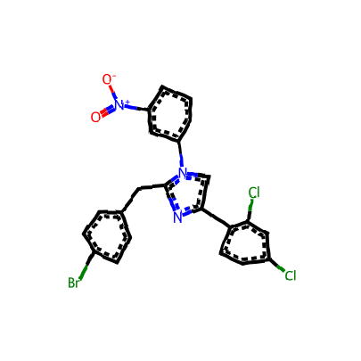 O=[N+]([O-])c1cccc(-n2cc(-c3ccc(Cl)cc3Cl)nc2Cc2ccc(Br)cc2)c1